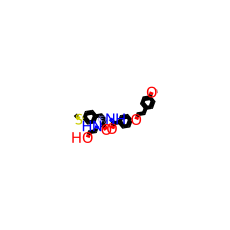 COc1ccc(CCOc2ccc(C(=O)N/C(=C/c3ccc(SC)cc3)C(=O)NCCO)cc2)cc1